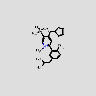 Cc1ccc(CC(C)C)cc1-c1cc(CC2CCCC2)c([Si](C)(C)C)c[n+]1C